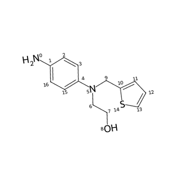 Nc1ccc(N(CCO)Cc2cccs2)cc1